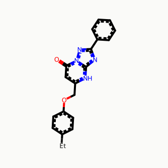 CCc1ccc(OCc2cc(=O)n3nc(-c4ccccc4)nc3[nH]2)cc1